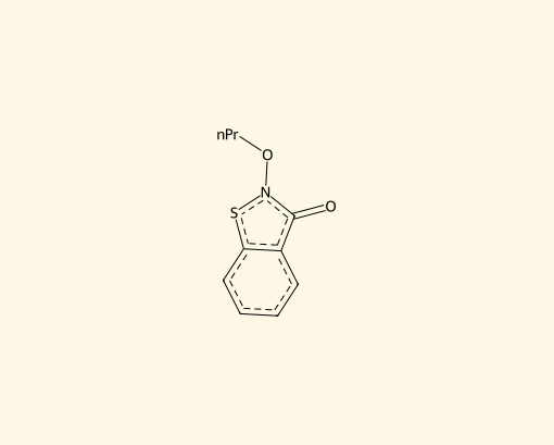 CCCOn1sc2ccccc2c1=O